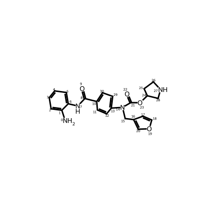 Nc1ccccc1NC(=O)c1ccc(N(Cc2ccoc2)C(=O)OC2CCNC2)cc1